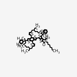 CCCCCCCN1C(=O)c2sc3c(-c4cc5c(-c6ccc(CC(CC)CCCC)s6)c6sc(C(CC)(CCC)c7ccccc7)cc6c(-c6ccc(CC(CC)CCCC)s6)c5s4)sc(C(C)(CC)c4ccccc4)c3c2C1=O